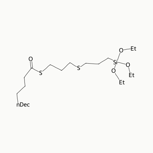 CCCCCCCCCCCCCC(=O)SCCCSCCC[Si](OCC)(OCC)OCC